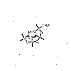 CO[Si](C)(OC)O[Si](C)(C)O[Si](C)(OC)O[Si](C)(C)C